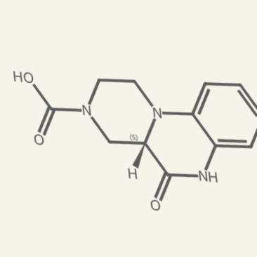 O=C1Nc2ccccc2N2CCN(C(=O)O)C[C@@H]12